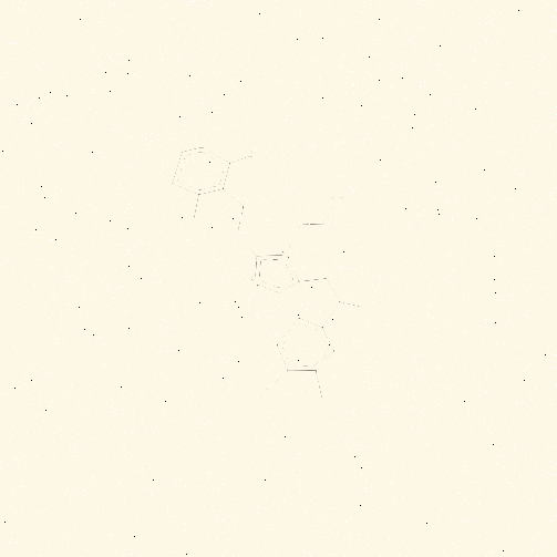 CC(Cc1cnc(SCc2c(F)cccc2Cl)n1CCO)c1ccc(Cl)c(Cl)c1